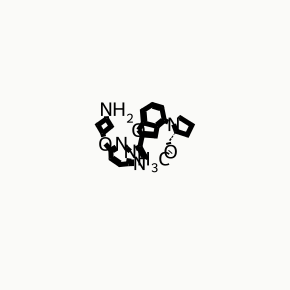 COC[C@H]1CCCN1c1cccc2oc(-c3cnc4ccc(OC5CC(N)C5)nn34)cc12